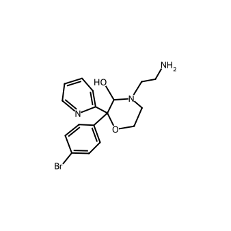 NCCN1CCOC(c2ccc(Br)cc2)(c2ccccn2)C1O